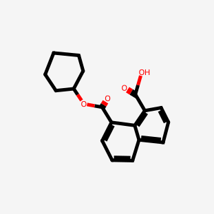 O=C(O)c1cccc2cccc(C(=O)OC3CCCCC3)c12